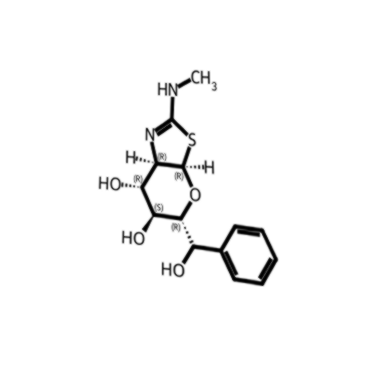 CNC1=N[C@@H]2[C@@H](O)[C@H](O)[C@@H](C(O)c3ccccc3)O[C@@H]2S1